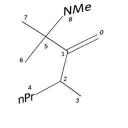 C=C(C(C)CCC)C(C)(C)NC